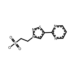 O=S(=O)([O-])CC[n+]1cc(-c2ncccn2)sn1